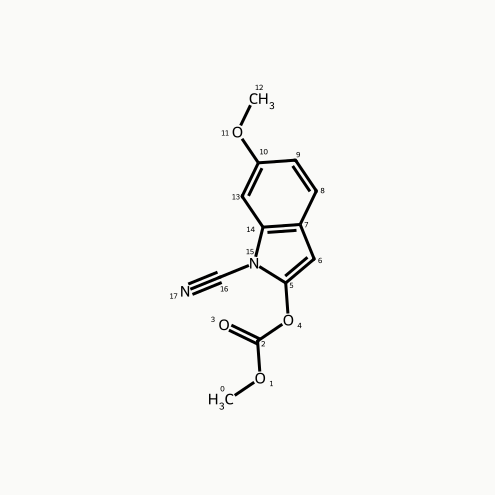 COC(=O)Oc1cc2ccc(OC)cc2n1C#N